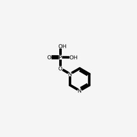 O=P(O)(O)ON1C=CC=NC1